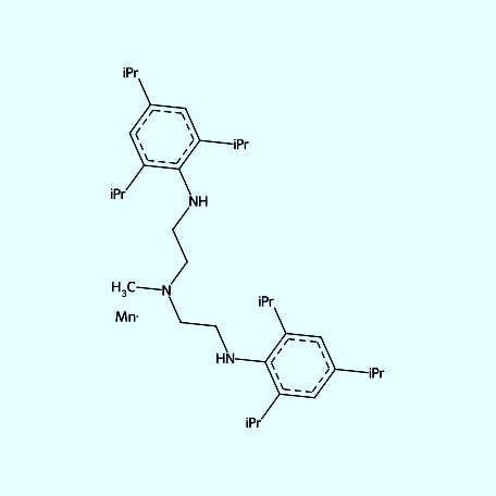 CC(C)c1cc(C(C)C)c(NCCN(C)CCNc2c(C(C)C)cc(C(C)C)cc2C(C)C)c(C(C)C)c1.[Mn]